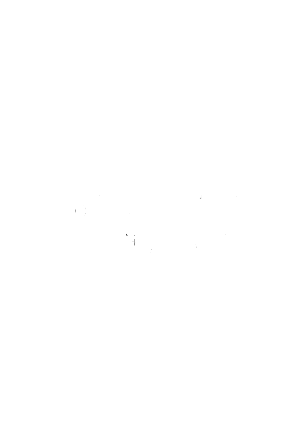 COC(C)C/N=C\c1ccc(C)c(C)c1